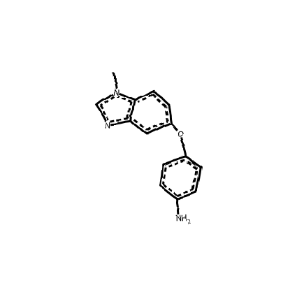 Cn1cnc2cc(Oc3ccc(N)cc3)ccc21